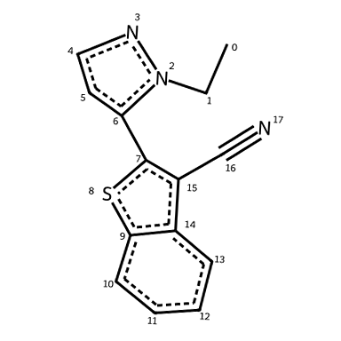 CCn1nccc1-c1sc2ccccc2c1C#N